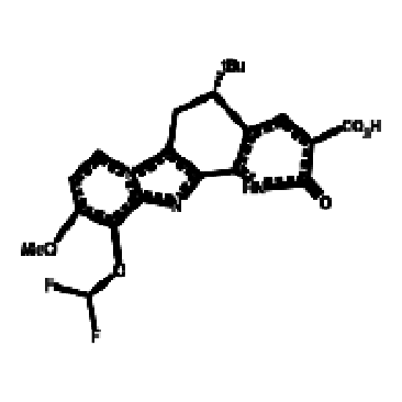 COc1ccn2c3c(nc2c1OC(F)F)-c1[nH]c(=O)c(C(=O)O)cc1[C@@H](C(C)(C)C)C3